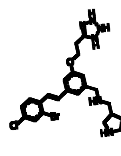 Clc1ccc(/C=C/c2cc(CNCC3CCNC3)cc(OCCC3=NNNN3)c2)c(Br)c1